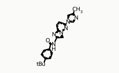 Cc1cn(-c2ccc3nc(NC(=O)c4ccc(C(C)(C)C)cc4)cn3n2)cn1